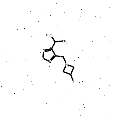 CC(C)c1nonc1CN1CC(F)C1